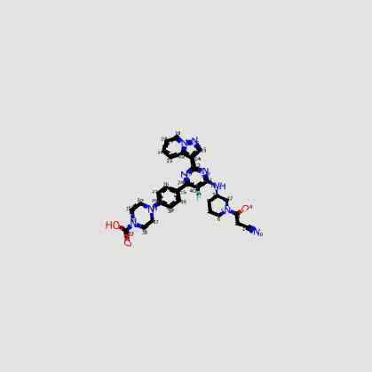 N#CCC(=O)N1CCC[C@@H](Nc2nc(-c3cnn4ccccc34)nc(-c3ccc(N4CCN(C(=O)O)CC4)cc3)c2F)C1